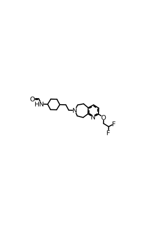 O=CNC1CCC(CCN2CCc3ccc(OCC(F)F)nc3CC2)CC1